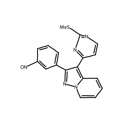 CSc1nccc(-c2c(-c3cccc(N=O)c3)nn3ccccc23)n1